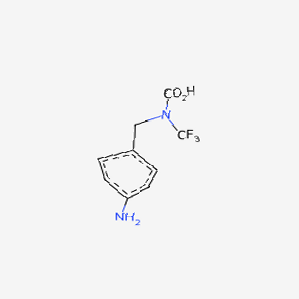 Nc1ccc(CN(C(=O)O)C(F)(F)F)cc1